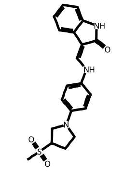 CS(=O)(=O)C1CCN(c2ccc(N/C=C3\C(=O)Nc4ccccc43)cc2)C1